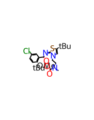 COc1ccc(Cl)cc1C(=O)N=c1sc(C(C)(C)C)cn1CCN(C)C(=O)OC(C)(C)C